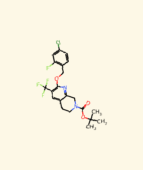 CC(C)(C)OC(=O)N1CCc2cc(C(F)(F)F)c(OCc3ccc(Cl)cc3F)nc2C1